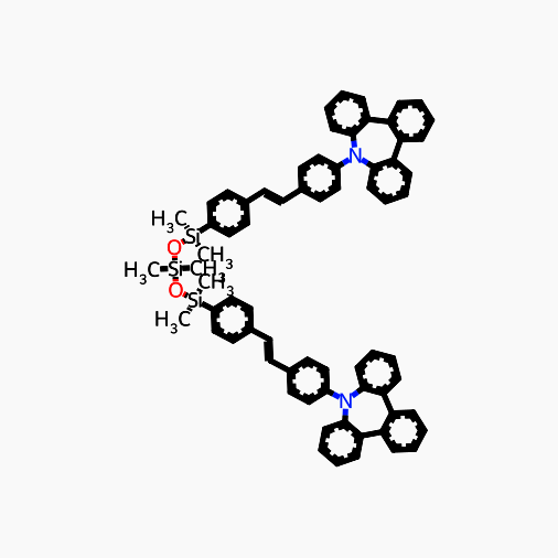 C[Si](C)(O[Si](C)(C)c1ccc(/C=C/c2ccc(N3c4ccccc4-c4ccccc4-c4ccccc43)cc2)cc1)O[Si](C)(C)c1ccc(/C=C/c2ccc(N3c4ccccc4-c4ccccc4-c4ccccc43)cc2)cc1